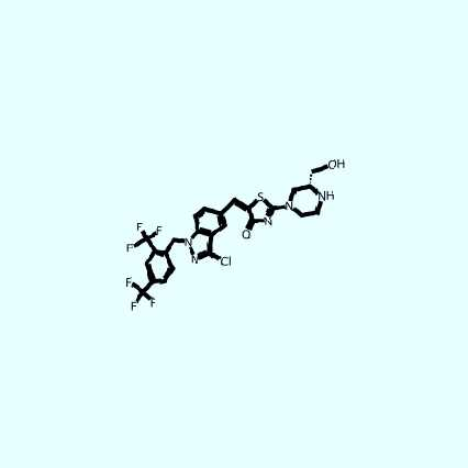 O=C1N=C(N2CCN[C@@H](CO)C2)SC1=Cc1ccc2c(c1)c(Cl)nn2Cc1ccc(C(F)(F)F)cc1C(F)(F)F